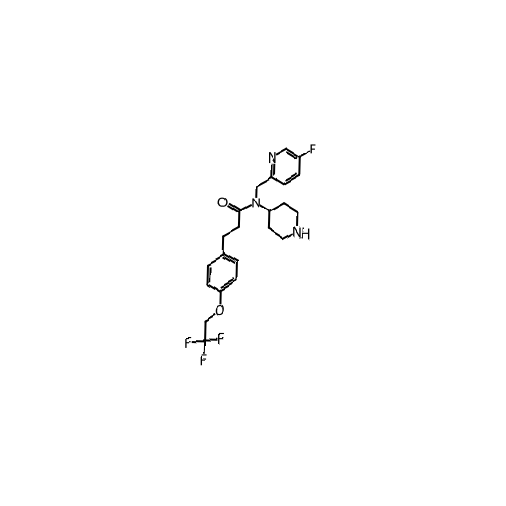 O=C(CCc1ccc(OCC(F)(F)F)cc1)N(Cc1ccc(F)cn1)C1CCNCC1